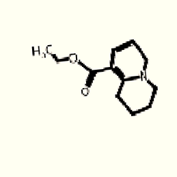 CCOC(=O)C1=C2CCCCN2CC=C1